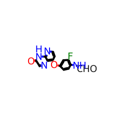 O=CNc1ccc(Oc2ccnc3[nH]c(=O)cnc23)cc1F